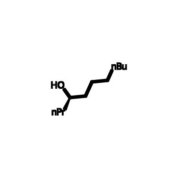 CCCCCCC[C@H](O)CCC